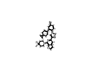 FC1(F)CCN(c2nc(-c3cn(-c4ccc(Br)cc4C4=CCC5(CC4)CC5)nn3)cc3ccoc23)CC1